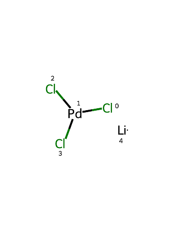 [Cl][Pd]([Cl])[Cl].[Li]